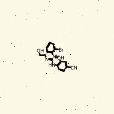 N#Cc1ccc(NC(=NCCO)Nc2ccccc2Br)c(O)c1